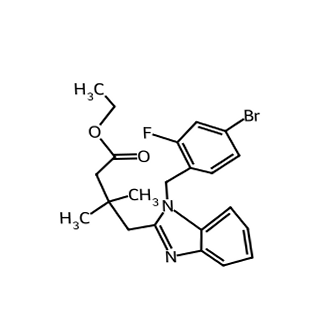 CCOC(=O)CC(C)(C)Cc1nc2ccccc2n1Cc1ccc(Br)cc1F